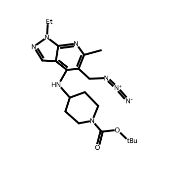 CCn1ncc2c(NC3CCN(C(=O)OC(C)(C)C)CC3)c(CN=[N+]=[N-])c(C)nc21